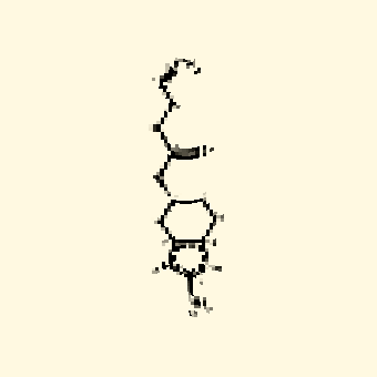 C=CCCC(=O)C[C@H]1CCc2sc(N)nc2C1